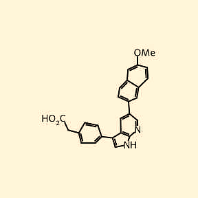 COc1ccc2cc(-c3cnc4[nH]cc(-c5ccc(CC(=O)O)cc5)c4c3)ccc2c1